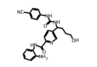 N#Cc1ccc(NC(=O)NC(CCCO)c2ccc(C(=O)Nc3ccccc3N)nc2)cc1